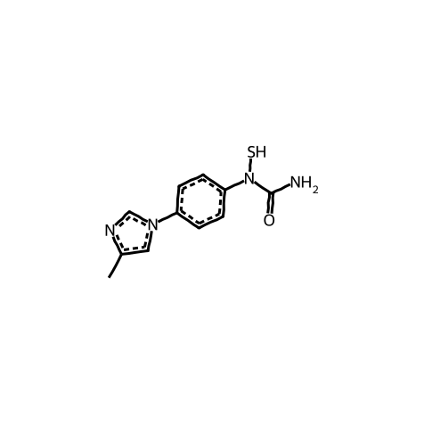 Cc1cn(-c2ccc(N(S)C(N)=O)cc2)cn1